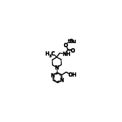 CC1(CNC(=O)OC(C)(C)C)CCN(c2nccnc2CO)CC1